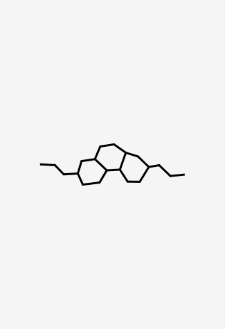 CCCC1CCC2C(CCC3CC(CCC)CCC32)C1